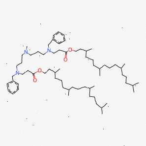 CC(C)CCCC(C)CCCC(C)CCCC(C)CCOC(=O)CCN(CCCN(C)CCCN(CCC(=O)OCCC(C)CCCC(C)CCCC(C)CCCC(C)C)Cc1ccccc1)Cc1ccccc1